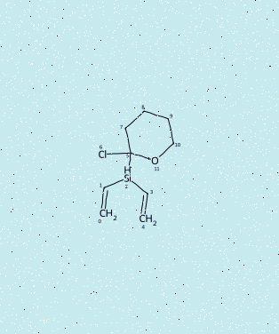 C=C[SiH](C=C)C1(Cl)CCCCO1